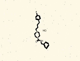 Cl.O=C(NCc1ccccc1)N1CCN(CCCCc2ccc(F)cc2)CC1